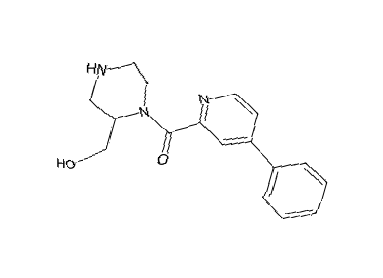 O=C(c1cc(-c2ccccc2)ccn1)N1CCNCC1CO